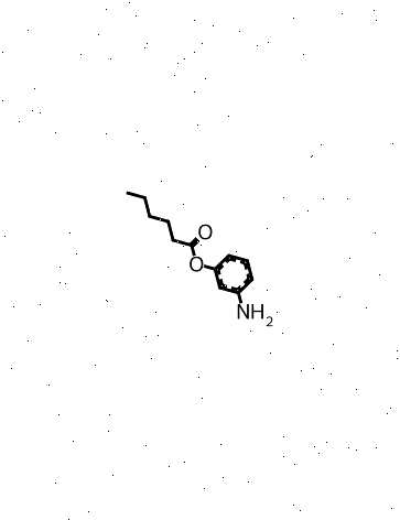 CCCCCC(=O)Oc1cccc(N)c1